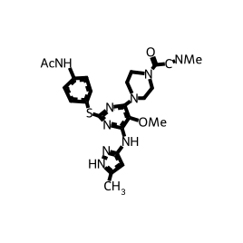 CNCC(=O)N1CCN(c2nc(Sc3ccc(NC(C)=O)cc3)nc(Nc3cc(C)[nH]n3)c2OC)CC1